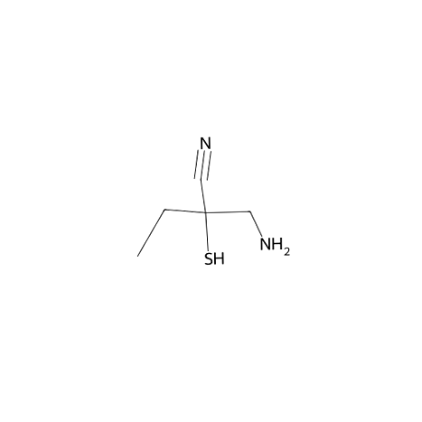 CCC(S)(C#N)CN